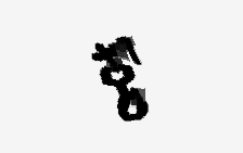 CCCC(C)(C)N1CCC(c2ccccn2)CC1